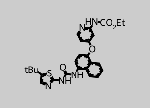 CCOC(=O)Nc1cc(Oc2ccc(NC(=O)Nc3ncc(C(C)(C)C)s3)c3ccccc23)ccn1